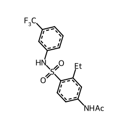 CCc1cc(NC(C)=O)ccc1S(=O)(=O)Nc1cccc(C(F)(F)F)c1